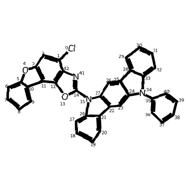 Clc1cc2oc3ccccc3c2c2oc(-n3c4ccccc4c4cc5c(cc43)c3ccccc3n5-c3ccccc3)nc12